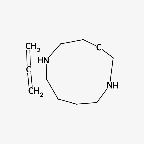 C1CCNCCCCNC1.C=C=C